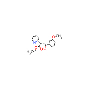 CCOC(=O)C(CC(=O)c1cccc(OC)c1)c1ccccn1